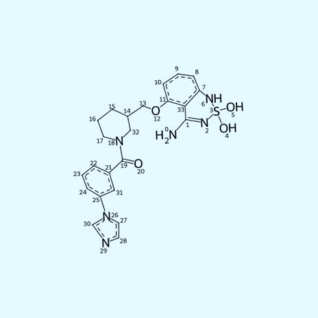 NC1=NS(O)(O)Nc2cccc(OCC3CCCN(C(=O)c4cccc(-n5ccnc5)c4)C3)c21